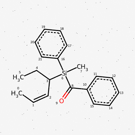 C/C=C\C(CC)[Si](C)(C(=O)c1ccccc1)c1ccccc1